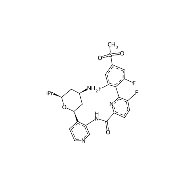 CC(C)[C@H]1C[C@@H](N)C[C@@H](c2ccncc2NC(=O)c2ccc(F)c(-c3c(F)cc(S(C)(=O)=O)cc3F)n2)O1